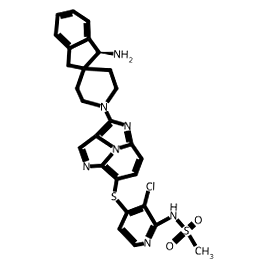 CS(=O)(=O)Nc1nccc(Sc2ccc3nc(N4CCC5(CC4)Cc4ccccc4[C@H]5N)c4cnc2n34)c1Cl